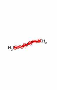 C=CC(=O)OCCOCCOCCOc1ccc(C(=O)Oc2ccc(-c3ccc(OC(=O)c4ccc(OCCOCCOCCOC(=O)C=C)cc4)cc3)cc2)cc1